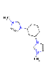 C[n+]1ccn(C2CCCC(n3cc[n+](C)c3)C2)c1